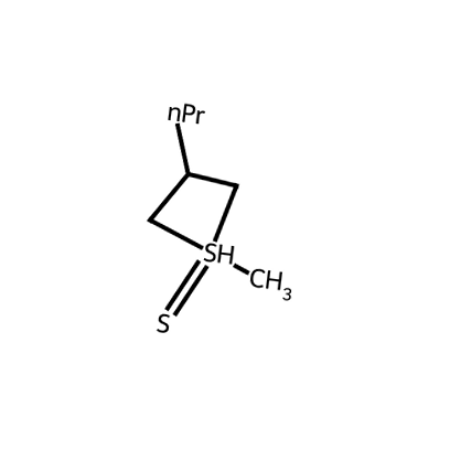 CCCC1C[SH](C)(=S)C1